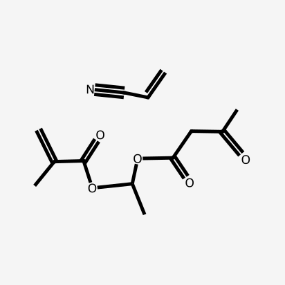 C=C(C)C(=O)OC(C)OC(=O)CC(C)=O.C=CC#N